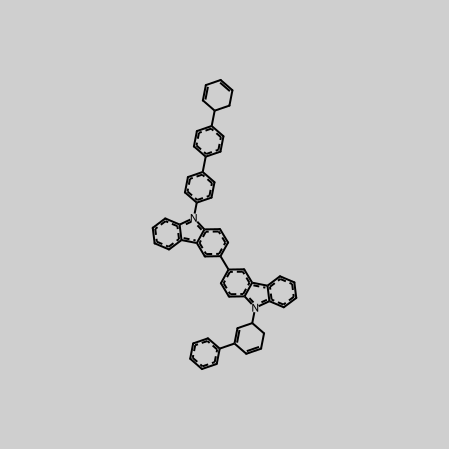 C1=CCC(c2ccc(-c3ccc(-n4c5ccccc5c5cc(-c6ccc7c(c6)c6ccccc6n7C6C=C(c7ccccc7)C=CC6)ccc54)cc3)cc2)C=C1